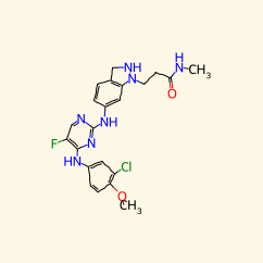 CNC(=O)CCN1NCc2ccc(Nc3ncc(F)c(Nc4ccc(OC)c(Cl)c4)n3)cc21